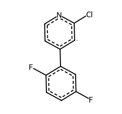 Fc1ccc(F)c(-c2[c]c(Cl)ncc2)c1